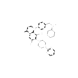 CN(Cc1ccc(-n2ccc(=O)c3cc(F)c(N4CCN(c5ncccn5)CC4)c(Cl)c32)cc1)C1CCCCC1